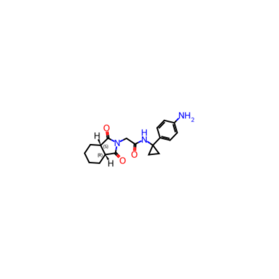 Nc1ccc(C2(NC(=O)CN3C(=O)[C@H]4CCCC[C@H]4C3=O)CC2)cc1